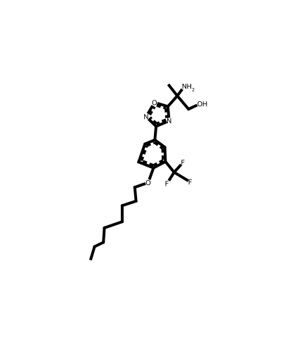 CCCCCCCCOc1ccc(-c2noc(C(C)(N)CO)n2)cc1C(F)(F)F